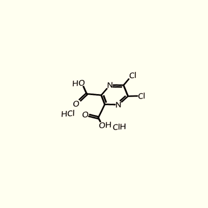 Cl.Cl.O=C(O)c1nc(Cl)c(Cl)nc1C(=O)O